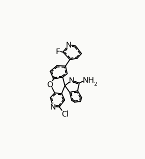 NC1=NC2(c3cc(-c4cccnc4F)ccc3Oc3cnc(Cl)cc32)c2ccccc21